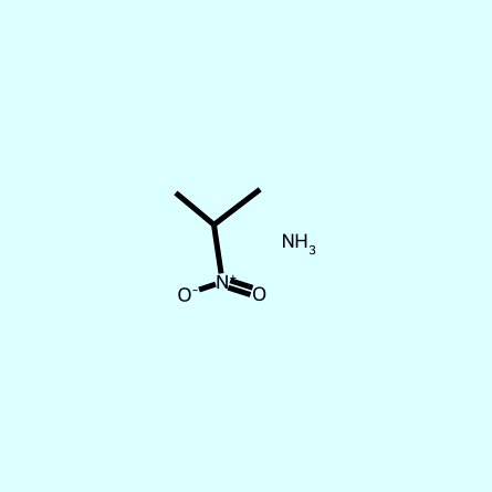 CC(C)[N+](=O)[O-].N